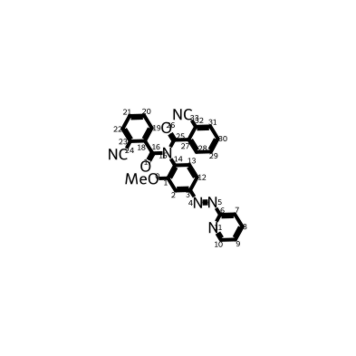 COc1cc(N=Nc2ccccn2)ccc1N(C(=O)c1ccccc1C#N)C(=O)c1ccccc1C#N